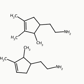 CC1=C(C)C(C)C(CCN)C1.CC1=CCC(CCN)C1C